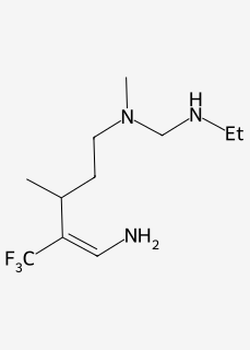 CCNCN(C)CCC(C)/C(=C\N)C(F)(F)F